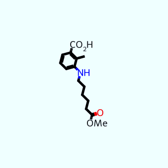 COC(=O)CCCCCNc1cccc(C(=O)O)c1C